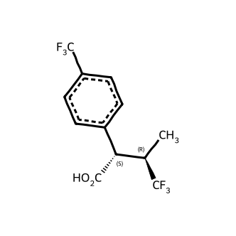 C[C@H]([C@H](C(=O)O)c1ccc(C(F)(F)F)cc1)C(F)(F)F